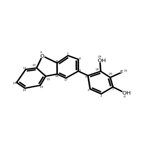 Oc1ccc(-c2ccc3oc4ccccc4c3c2)c(O)c1F